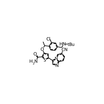 CC(Oc1cc(-c2cnc3ccc(C#N)cn23)sc1C(N)=O)c1ccc(CNC(C)(C)C)cc1Cl